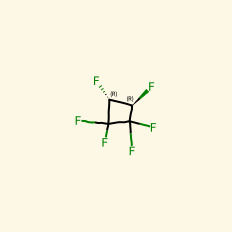 F[C@@H]1[C@@H](F)C(F)(F)C1(F)F